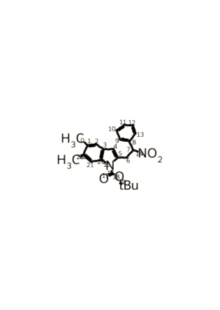 Cc1cc2cc(CC(c3ccccc3)[N+](=O)[O-])n(C(=O)OC(C)(C)C)c2cc1C